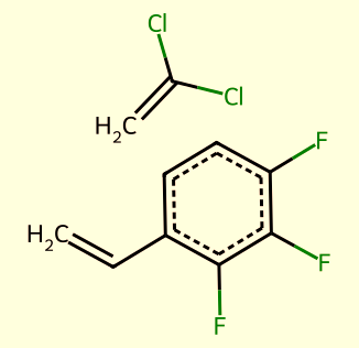 C=C(Cl)Cl.C=Cc1ccc(F)c(F)c1F